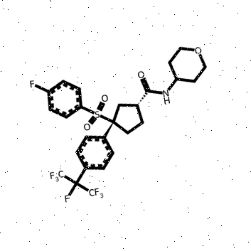 O=C(NC1CCOCC1)[C@@H]1CC[C@](c2ccc(C(F)(C(F)(F)F)C(F)(F)F)cc2)(S(=O)(=O)c2ccc(F)cc2)C1